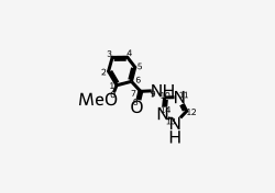 COc1ccccc1C(=O)Nc1nc[nH]n1